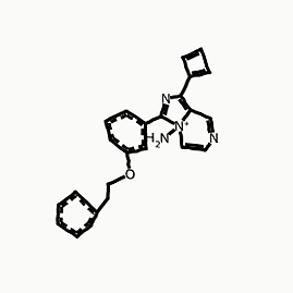 N[N+]12C=CN=CC1=C(C1=CC=C1)N=C2c1cccc(OCCc2ccccc2)c1